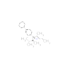 C=C/C=C(\C)N(c1ccc(-c2ccccc2)cc1)[C@H](C)C(C)C